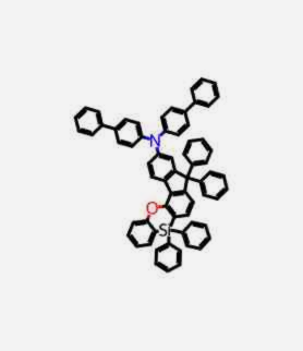 c1ccc(-c2ccc(N(c3ccc(-c4ccccc4)cc3)c3ccc4c(c3)C(c3ccccc3)(c3ccccc3)c3ccc5c(c3-4)Oc3ccccc3[Si]5(c3ccccc3)c3ccccc3)cc2)cc1